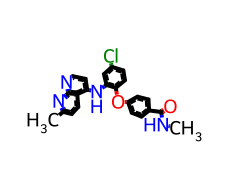 CNC(=O)c1ccc(Oc2ccc(Cl)cc2Nc2ccnc3nc(C)ccc23)cc1